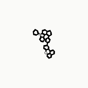 c1ccc(-n2c3ccccc3c3c4c(-c5ccc(-c6ccc7c(c6)-c6cccc8cccc(c68)O7)cc5)cccc4ccc32)cc1